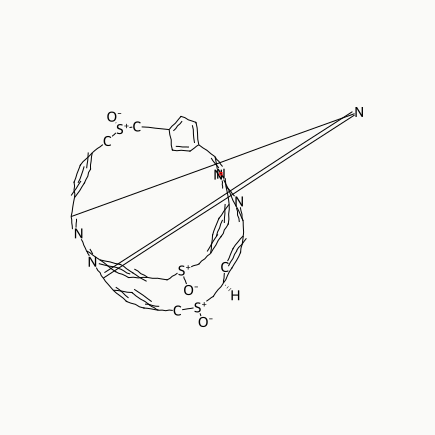 [O-][S+]1Cc2ccc(cc2)-c2nc3nc(n2)-c2ccc(cc2)C[S+]([O-])Cc2ccc(cc2)-c2nc(nc(n2)-c2ccc(cc2)C[S+]([O-])C[C@@H]2C=CC3=CC2)-c2ccc(cc2)C1